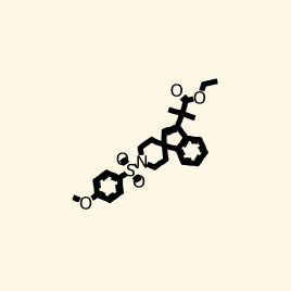 CCOC(=O)C(C)(C)C1=CC2(CCN(S(=O)(=O)c3ccc(OC)cc3)CC2)c2ccccc21